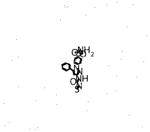 NS(=O)(=O)c1ccc(-n2nc(NC(=O)N=S)cc2-c2ccccc2)cc1